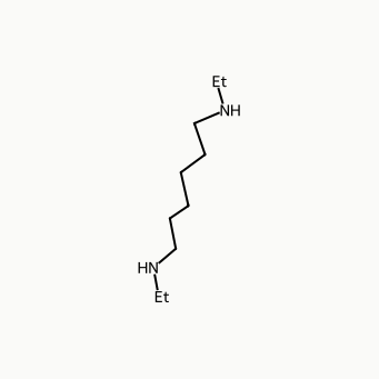 [CH2]CNCCCCCCNCC